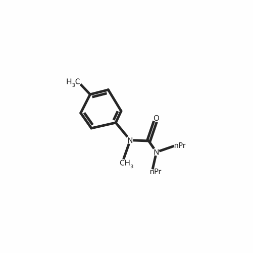 CCCN(CCC)C(=O)N(C)c1ccc(C)cc1